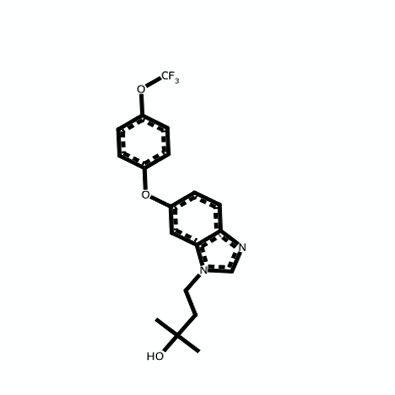 CC(C)(O)CCn1cnc2ccc(Oc3ccc(OC(F)(F)F)cc3)cc21